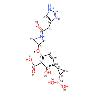 O=C(O)c1c(OC2CN(C(=O)Cc3c[nH]cn3)C2)ccc(C2C[C@H]2B(O)O)c1O